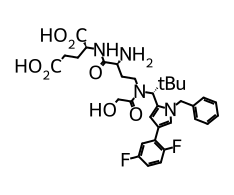 CC(C)(C)[C@H](c1cc(-c2cc(F)ccc2F)cn1Cc1ccccc1)N(CC[C@H](N)C(=O)N[C@@H](CCC(=O)O)C(=O)O)C(=O)CO